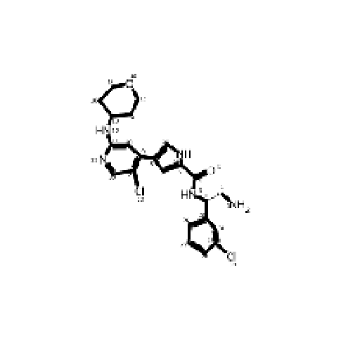 NC[C@@H](NC(=O)c1cc(-c2cc(NC3CCOCC3)ncc2Cl)c[nH]1)c1cccc(Cl)c1